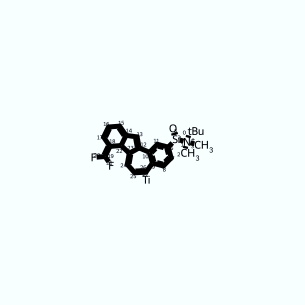 CC(C)(C)[N+](C)(C)[Si](=O)c1ccc2c(c1)C1=CC3=CC=CC(=C(F)F)C3C1=CC=C2.[Ti]